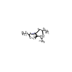 CC(C)OC(=O)/C=C(/CC(=O)OC(C)C)C(=O)OC(C)C